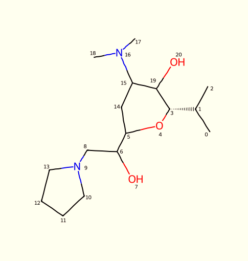 CC(C)[C@@H]1OC(C(O)CN2CCCC2)CC(N(C)C)C1O